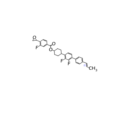 C/C=C/c1ccc(-c2ccc(C3CCC(OC(=O)c4ccc(C5CO5)c(F)c4)CC3)c(F)c2F)cc1